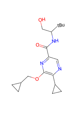 CC(C)(C)C(CO)NC(=O)c1cnc(C2CC2)c(OCC2CC2)n1